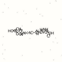 CC(C)C(C(=O)N1C[C@H](O)C[C@H]1C)c1cc(N2CC3(CC(N4CCC(c5cnc(N6CCN7c8cc(-c9ccccc9O)nnc8NC[C@H]7C6)nc5)CC4)C3)C2)no1